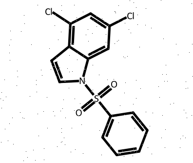 O=S(=O)(c1ccccc1)n1ccc2c(Cl)cc(Cl)cc21